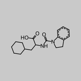 O=C(O)C(CC1CCCCC1)NC(=O)N1CCc2ccccc21